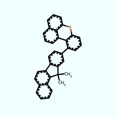 CC1(C)c2cc(-c3cccc4c3-c3cccc5cccc(c35)S4)ccc2-c2ccc3ccccc3c21